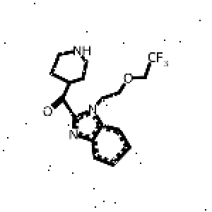 O=C(c1nc2ccccc2n1CCOCC(F)(F)F)C1CCNCC1